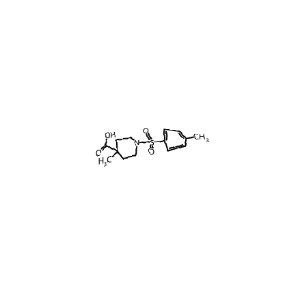 Cc1ccc(S(=O)(=O)N2CCC(C)(C(=O)O)CC2)cc1